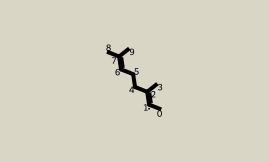 C/[C]=C(\C)CCC=C(C)C